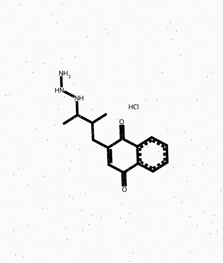 CC(CC1=CC(=O)c2ccccc2C1=O)C(C)NNN.Cl